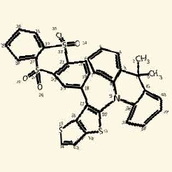 CC1(C)c2ccccc2N(c2sc3ccsc3c2-c2ccc3c(c2)S(=O)(=O)c2ccccc2S3(=O)=O)c2ccccc21